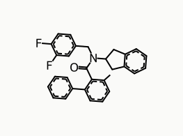 Cc1cccc(-c2ccccc2)c1C(=O)N(Cc1ccc(F)c(F)c1)C1Cc2ccccc2C1